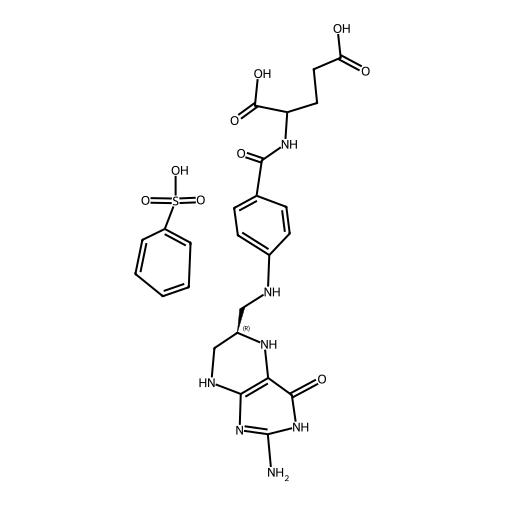 Nc1nc2c(c(=O)[nH]1)N[C@H](CNc1ccc(C(=O)NC(CCC(=O)O)C(=O)O)cc1)CN2.O=S(=O)(O)c1ccccc1